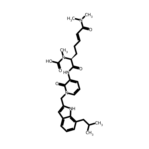 CC(C)Cc1cccc2cc(Cn3cccc(NC(=O)[C@H](CC/C=C/C(=O)N(C)C)N(C)C(=O)O)c3=O)[nH]c12